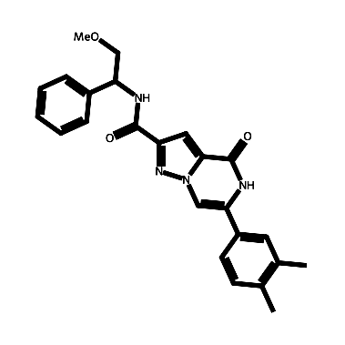 COCC(NC(=O)c1cc2c(=O)[nH]c(-c3ccc(C)c(C)c3)cn2n1)c1ccccc1